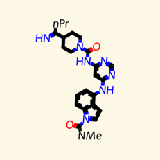 CCCC(=N)C1CCN(C(=O)Nc2cc(Nc3cccc4c3ccn4C(=O)NC)ncn2)CC1